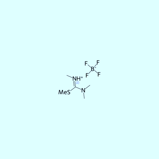 C/[NH+]=C(\SC)N(C)C.F[B-](F)(F)F